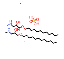 CCCCCCCCCCCCOCC(O)CNC.CCCCCCCCCCCCOCC(O)CNC.O=S(=O)(O)O